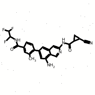 Cc1cc(C(=O)NC(F)C(F)F)ccc1-c1cc(N)c2cnc(NC(=O)C3CC3C#N)cc2c1